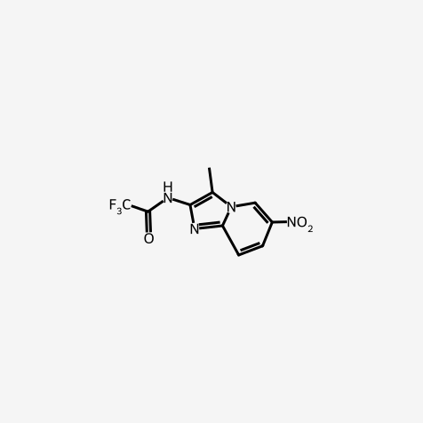 Cc1c(NC(=O)C(F)(F)F)nc2ccc([N+](=O)[O-])cn12